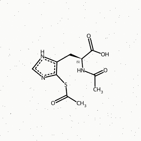 CC(=O)N[C@@H](Cc1[nH]cnc1SC(C)=O)C(=O)O